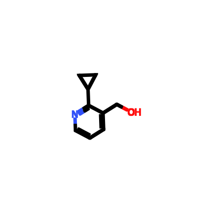 OCc1cccnc1C1CC1